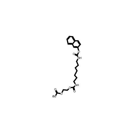 CCC(C)C(=O)OCCOC(=O)NCCCCCCCNC(=O)Oc1ccc2ccccc2c1